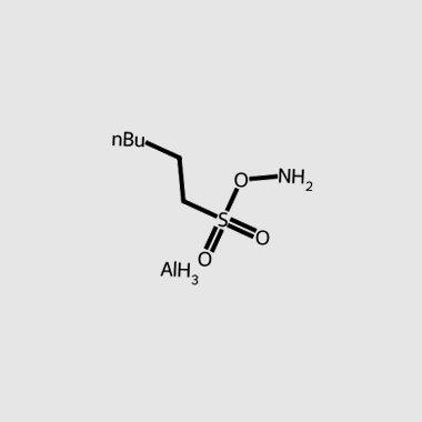 CCCCCCS(=O)(=O)ON.[AlH3]